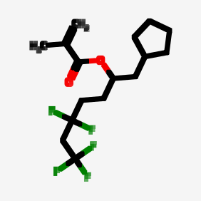 C=C(C)C(=O)OC(CCC(F)(F)CC(F)(F)F)CC1CCCC1